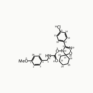 COc1ccc(CNC(=O)ON2C(c3ccc(Cl)cc3)=NOC23CCCCC3)cc1